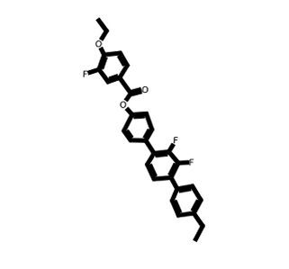 CCOc1ccc(C(=O)Oc2ccc(-c3ccc(-c4ccc(CC)cc4)c(F)c3F)cc2)cc1F